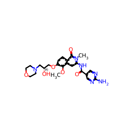 COc1c(OC[C@H](O)CN2CCOCC2)ccc2c(=O)n(C)c(NC(=O)c3cnc(N)nc3)cc12